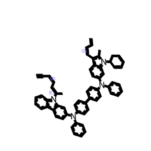 C#C/C=C\C=C(/C)n1c2ccccc2c2ccc(N(c3ccccc3)c3ccc(-c4ccc(N(c5ccccc5)c5ccc6c(/C=C\C=C)c(C)n(C7C=CC=CC7)c6c5)cc4)cc3)cc21